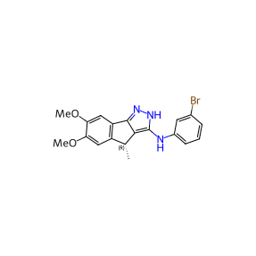 COc1cc2c(cc1OC)[C@@H](C)c1c-2n[nH]c1Nc1cccc(Br)c1